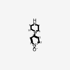 [O-][n+]1ccc(N2CCNCC2)cc1